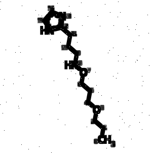 CCCOCCCONCCCc1ncc[nH]1